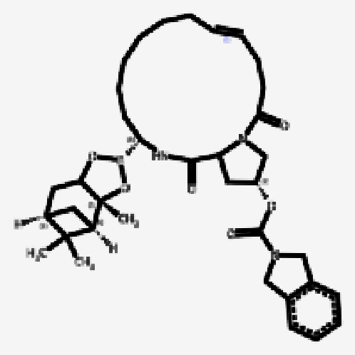 CC1(C)[C@H]2CC3OB([C@@H]4CCCCCC/C=C/CCC(=O)N5C[C@H](OC(=O)N6Cc7ccccc7C6)CC5C(=O)N4)O[C@]3(C)[C@@H]1C2